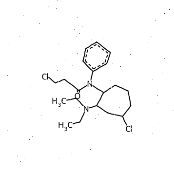 CCN(CC)C1CC(Cl)CCCC1N(C(=O)CCCl)c1ccccc1